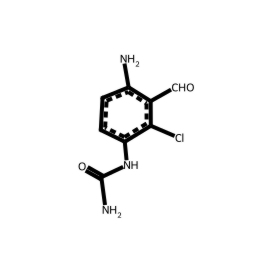 NC(=O)Nc1ccc(N)c(C=O)c1Cl